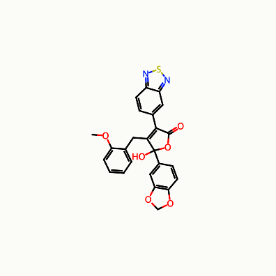 COc1ccccc1CC1=C(c2ccc3nsnc3c2)C(=O)OC1(O)c1ccc2c(c1)OCO2